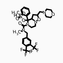 Cc1ccccc1C1(OS(C)(=O)=O)C2CC(CN3CCOCC3)ON2CCN1C(=O)N(C)Cc1ccc(C(F)(F)F)c(C(F)(F)F)c1